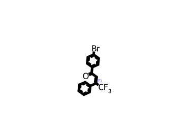 O=C(/C=C(\c1ccccc1)C(F)(F)F)c1ccc(Br)cc1